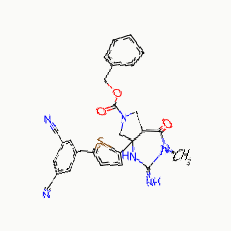 CN1C(=N)NC2(c3ccc(-c4cc(C#N)cc(C#N)c4)s3)CN(C(=O)OCc3ccccc3)CC2C1=O